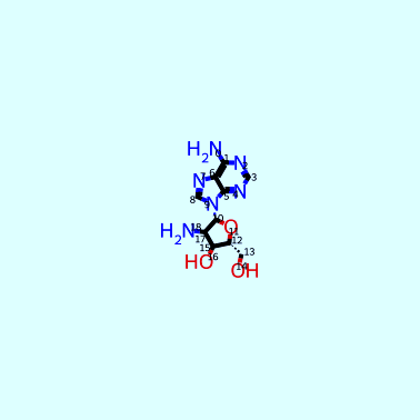 Nc1ncnc2c1ncn2[C@@H]1O[C@H](CO)C(O)C1N